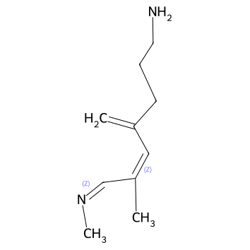 C=C(/C=C(C)\C=N/C)CCCN